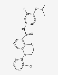 CC(C)Oc1ccc(NC(=O)c2cccc3c2OCCN3c2ncccc2Cl)cc1F